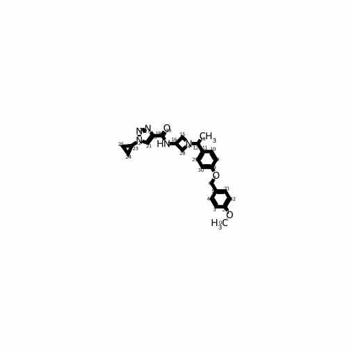 COc1ccc(COc2ccc(C(C)N3CC(NC(=O)c4cn(C5CC5)nn4)C3)cc2)cc1